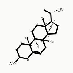 CC(=O)O[C@H]1CC[C@@]2(C)C(=CC[C@H]3[C@@H]4CC[C@H]([C@H](C)C=O)[C@@]4(C)CC[C@@H]32)C1